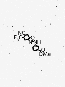 COC(=O)c1cccc(Nc2nc3cc(C(F)(F)F)c(C#N)cc3o2)c1